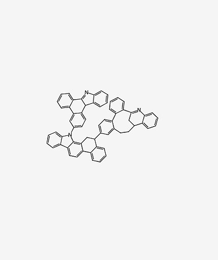 c1ccc2c(c1)N=C1CC2CCc2cc(C3Cc4c(ccc5c6ccccc6n(-c6ccc7c(c6)-c6ccccc6C6=Nc8ccccc8C67)c45)-c4ccccc43)ccc2-c2ccccc21